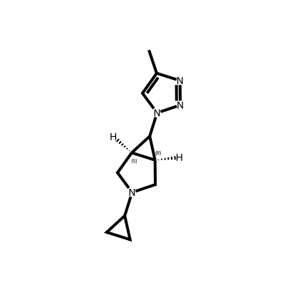 Cc1cn(C2[C@H]3CN(C4CC4)C[C@@H]23)nn1